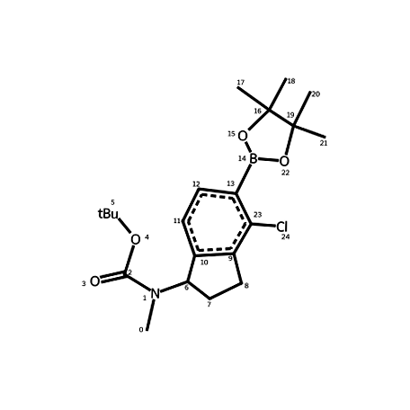 CN(C(=O)OC(C)(C)C)C1CCc2c1ccc(B1OC(C)(C)C(C)(C)O1)c2Cl